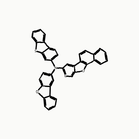 c1ccc2c(c1)ccc1c3cc(N(c4ccc5c(c4)sc4ccccc45)c4ccc5oc6ccccc6c5c4)ncc3oc21